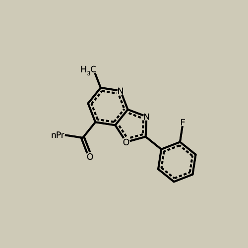 CCCC(=O)c1cc(C)nc2nc(-c3ccccc3F)oc12